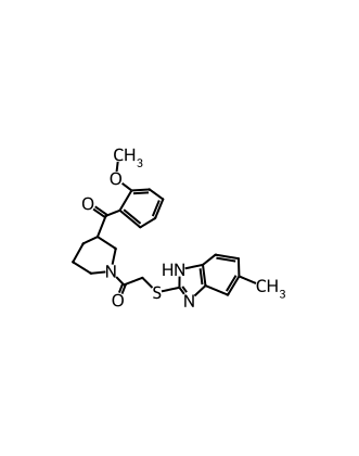 COc1ccccc1C(=O)C1CCCN(C(=O)CSc2nc3cc(C)ccc3[nH]2)C1